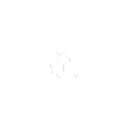 CSc1ncnc2c1ncn2C